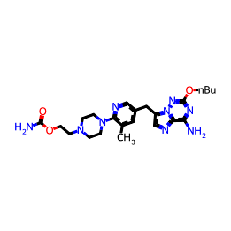 CCCCOc1nc(N)c2ncc(Cc3cnc(N4CCN(CCOC(N)=O)CC4)c(C)c3)n2n1